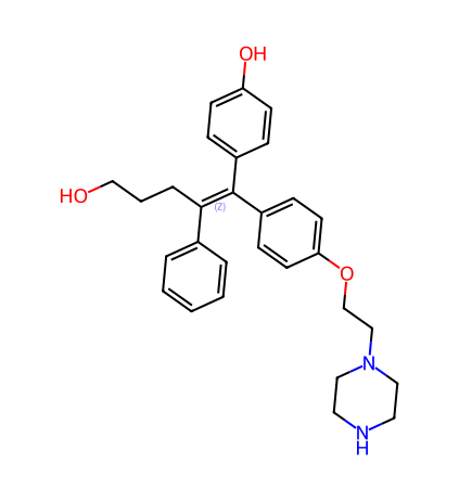 OCCC/C(=C(\c1ccc(O)cc1)c1ccc(OCCN2CCNCC2)cc1)c1ccccc1